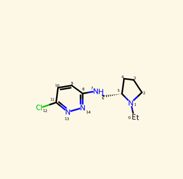 CCN1CCC[C@H]1CNc1ccc(Cl)nn1